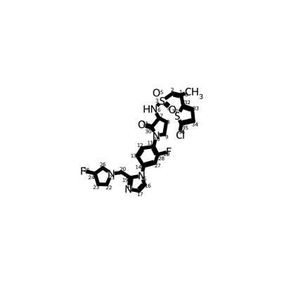 CC(=CS(=O)(=O)NC1CCN(c2ccc(-n3ccnc3CN3CCC(F)C3)cc2F)C1=O)c1ccc(Cl)s1